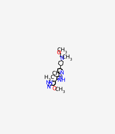 COCCN(C)C1CCC(c2ccc(-c3n[nH]c(-c4cc(OC)c5ncnn5c4)c3C(C)C)nc2)CC1